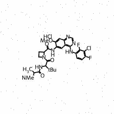 CNC(C)C(=O)NC(C(=O)N1CCC1C(=O)Nc1cc2c(Nc3ccc(F)c(Cl)c3F)ncnc2cc1OC)C(C)(C)C.Cl